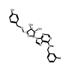 CN(Cc1cccc(F)c1)c1ncnc2c1ncn2[C@@H]1O[C@H](COCc2ccc(S)cc2)[C@@H](O)[C@H]1O